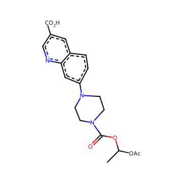 CC(=O)OC(C)OC(=O)N1CCN(c2ccc3cc(C(=O)O)cnc3c2)CC1